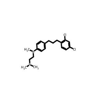 CN(C)CCN(C)c1ccc(CCCc2ccc(Cl)cc2Cl)cc1